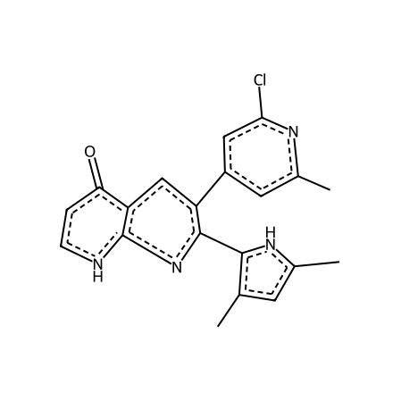 Cc1cc(-c2cc3c(=O)cc[nH]c3nc2-c2[nH]c(C)cc2C)cc(Cl)n1